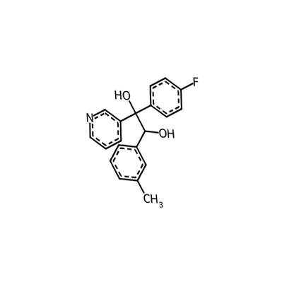 Cc1cccc(C(O)C(O)(c2ccc(F)cc2)c2cccnc2)c1